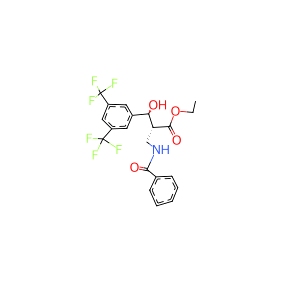 CCOC(=O)[C@H](CNC(=O)c1ccccc1)[C@H](O)c1cc(C(F)(F)F)cc(C(F)(F)F)c1